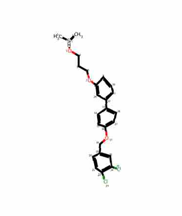 C[SiH](C)OCCCOc1cccc(-c2ccc(OCc3ccc(Cl)c(Cl)c3)cc2)c1